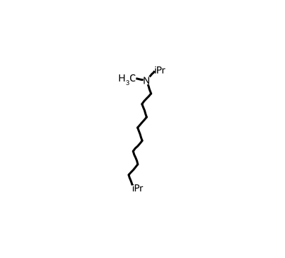 CC(C)CCCCCCCCN(C)C(C)C